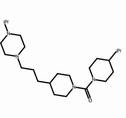 CC(C)C1CCN(C(=O)N2CCC(CCCN3CCN(C(C)C)CC3)CC2)CC1